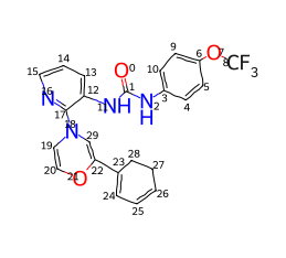 O=C(Nc1ccc(OC(F)(F)F)cc1)Nc1cccnc1N1C=COC(C2=CC=CCC2)=C1